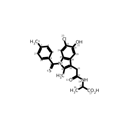 Cc1ccc(C(=S)n2c(C)c(CC(=O)NC(C)C(=O)O)c3cc(O)c(Cl)cc32)cc1